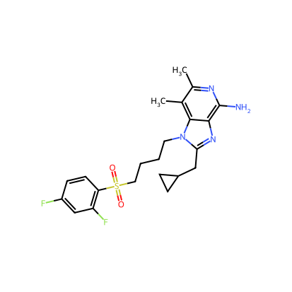 Cc1nc(N)c2nc(CC3CC3)n(CCCCS(=O)(=O)c3ccc(F)cc3F)c2c1C